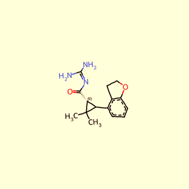 CC1(C)C(c2cccc3c2CCO3)[C@H]1C(=O)N=C(N)N